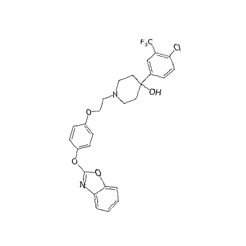 OC1(c2ccc(Cl)c(C(F)(F)F)c2)CCN(CCOc2ccc(Oc3nc4ccccc4o3)cc2)CC1